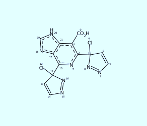 O=C(O)c1c(C2(Cl)C=CN=N2)nc(C2(Cl)C=CN=N2)c2nc[nH]c12